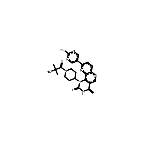 C=C1NC(=O)N(C2CCN(C(=O)C(C)(C)O)CC2)c2c1cnc1ccc(-c3cnc(C#N)nc3)nc21